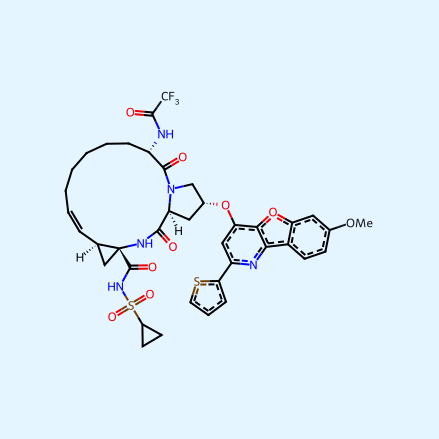 COc1ccc2c(c1)oc1c(O[C@@H]3C[C@H]4C(=O)N[C@]5(C(=O)NS(=O)(=O)C6CC6)C[C@H]5/C=C\CCCCC[C@H](NC(=O)C(F)(F)F)C(=O)N4C3)cc(-c3cccs3)nc12